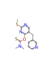 CSc1ncc(Cc2cccnc2)c(OC(=S)N(C)C)n1